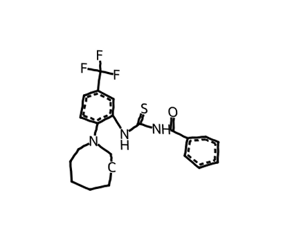 O=C(NC(=S)Nc1cc(C(F)(F)F)ccc1N1CCCCCCC1)c1ccccc1